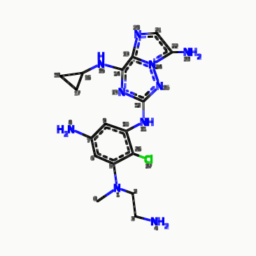 CN(CCN)c1cc(N)cc(Nc2nc(NC3CC3)c3ncc(N)n3n2)c1Cl